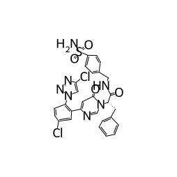 NS(=O)(=O)c1ccc(CNC(=O)[C@H](Cc2ccccc2)n2cnc(-c3cc(Cl)ccc3-n3cc(Cl)nn3)cc2=O)cc1